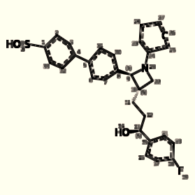 O=S(=O)(O)c1ccc(-c2ccc([C@@H]3[C@@H](CC[C@H](O)c4ccc(F)cc4)CN3c3ccccc3)cc2)cc1